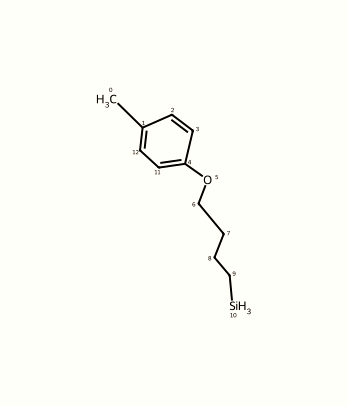 Cc1ccc(OCCCC[SiH3])cc1